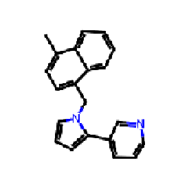 Cc1ccc(Cn2cccc2-c2cccnc2)c2ccccc12